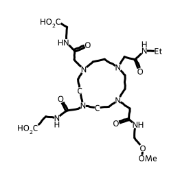 CCNC(=O)CN1CCN(CC(=O)NCOOC)CCN(CC(=O)NCC(=O)O)CCN(CC(=O)NCC(=O)O)CC1